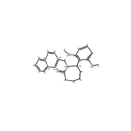 COc1cccc(OC)c1C1CCCCC(=O)N1Cc1ccc2ccccc2c1